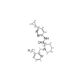 Cc1cccnc1CN1CCCC[C@@H]1C(=O)Nc1ccc(C2CC2)nn1